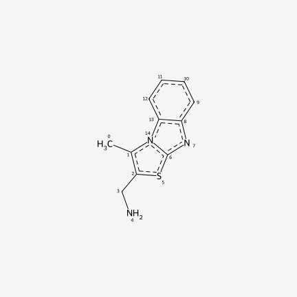 Cc1c(CN)sc2nc3ccccc3n12